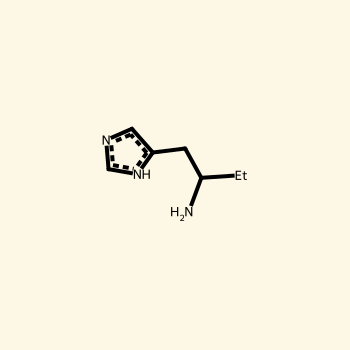 CCC(N)Cc1cnc[nH]1